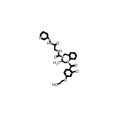 C[C@@H]1CN(C(=O)c2ccc(OCCO)cc2Cl)c2ccccc2CN1C(=O)NCC(=O)NCc1cccnc1